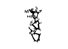 Cc1nc2ccccc2n1-c1cccc([C@]2(C)CC(=O)N(C)C(=N)N2)c1